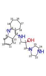 OC(CNc1c2c(nc3ccccc13)CCCCC2)CN1CCNCC1